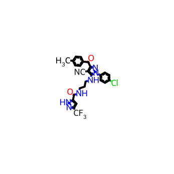 Cc1ccc(C(=O)c2nn(-c3ccc(Cl)cc3)c(NCCCNC(=O)c3cc(C(F)(F)F)n[nH]3)c2C#N)cc1